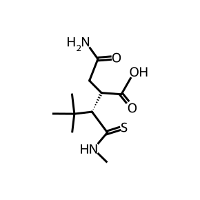 CNC(=S)[C@@H](C(CC(N)=O)C(=O)O)C(C)(C)C